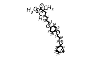 COC(=O)C(C)(C)CCCCCOc1ccc(OCCCOc2cccnc2)cc1